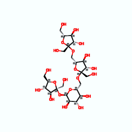 OC[C@H]1O[C@@](CO)(OC[C@H]2O[C@@](CO)(OC[C@H]3O[C@H](O[C@]4(CO)O[C@H](CO)[C@@H](O)[C@@H]4O)[C@H](O)[C@@H](O)[C@@H]3O)[C@@H](O)[C@@H]2O)[C@@H](O)[C@@H]1O